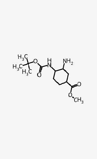 COC(=O)C1CCC(NC(=O)OC(C)(C)C)C(N)C1